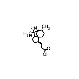 C[C@@H]1CC[C@]23C[C@H]1C(C)(C)[C@@H]2CCC3=CCC(=O)O